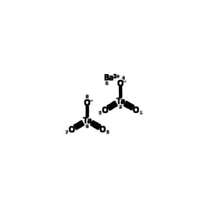 [Ba+2].[O]=[Ta](=[O])[O-].[O]=[Ta](=[O])[O-]